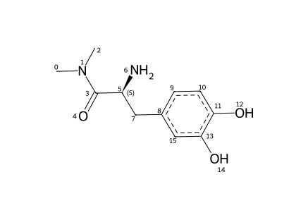 CN(C)C(=O)[C@@H](N)Cc1ccc(O)c(O)c1